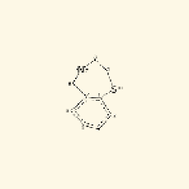 c1ccc2c(c1)C[N]CCS2